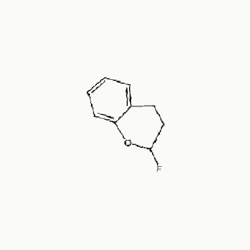 FC1C[CH]c2ccccc2O1